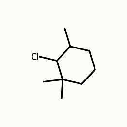 CC1CCCC(C)(C)C1Cl